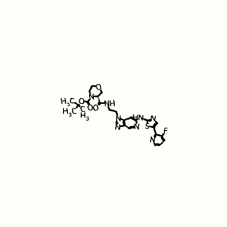 CC(C)(C)OC(=O)N1CCOC[C@H]1C(=O)NCCn1cnc2cnc(Nc3ncc(-c4ncccc4F)s3)cc21